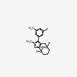 Cc1cc(F)cc(-c2c3c(nn2C)[C@H]2CCC[C@@H](C3)N2)c1